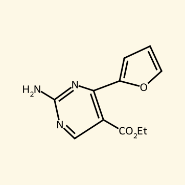 CCOC(=O)c1cnc(N)nc1-c1ccco1